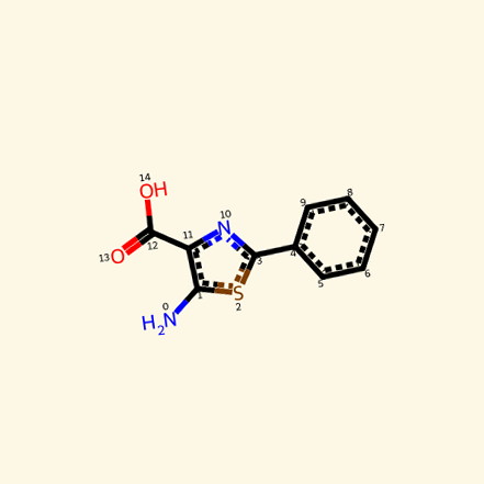 Nc1sc(-c2ccccc2)nc1C(=O)O